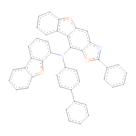 c1ccc(-c2ccc(N(c3cccc4c3oc3ccccc34)c3c4oc(-c5ccccc5)nc4cc4oc5ccccc5c34)cc2)cc1